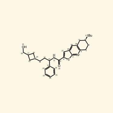 CC(C)(C)[C@H]1CCc2nc3sc(C(=O)NC(CCN4CC(CO)C4)c4ccccc4)cc3cc2C1